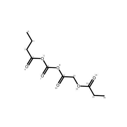 CCCC(=O)OC(=O)OC(=O)COC(=O)CC